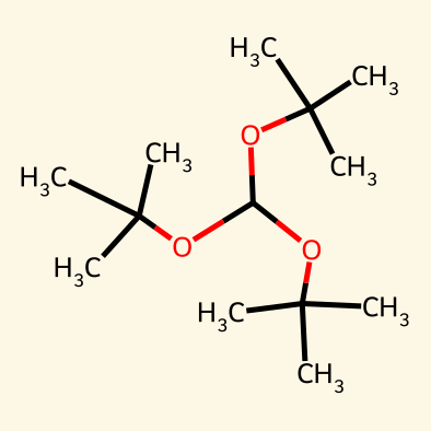 CC(C)(C)OC(OC(C)(C)C)OC(C)(C)C